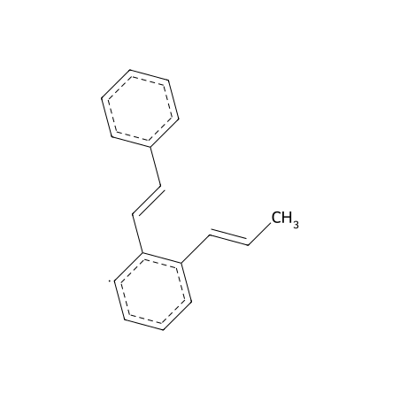 CC=Cc1ccc[c]c1C=Cc1ccccc1